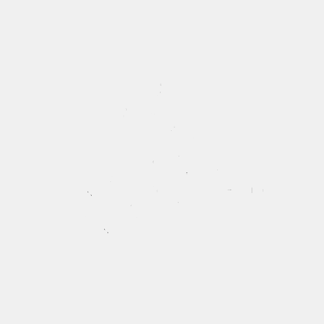 Cc1ncc(OC[C@@]2(c3cccc(F)c3)C[C@H]2C(=O)Cl)c(C)n1